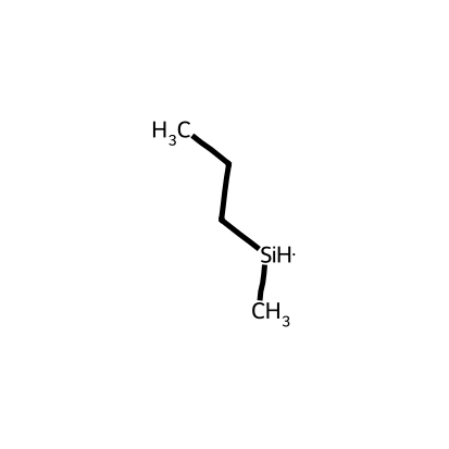 CCC[SiH]C